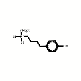 CCCCCCC[N+](CC)(CC)CCCCc1ccc(O)cc1